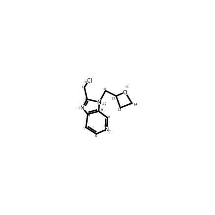 ClCc1nc2ccncc2n1CC1CCO1